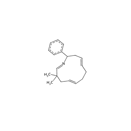 CC1(C)/C=N/C(c2ccccc2)C/C=C/CC/C=C/C1